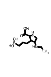 CCNC1CNC(C(=O)O)C1CCCB(O)O